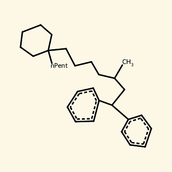 CCCCCC1(CCCCC(C)CC(c2ccccc2)c2ccccc2)CCCCC1